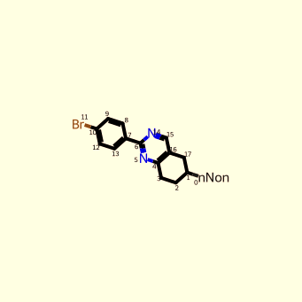 CCCCCCCCCC1CCc2nc(-c3ccc(Br)cc3)ncc2C1